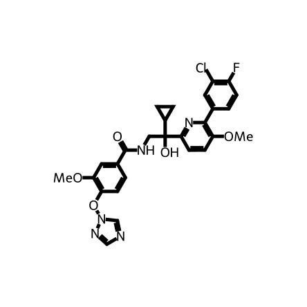 COc1cc(C(=O)NCC(O)(c2ccc(OC)c(-c3ccc(F)c(Cl)c3)n2)C2CC2)ccc1On1cncn1